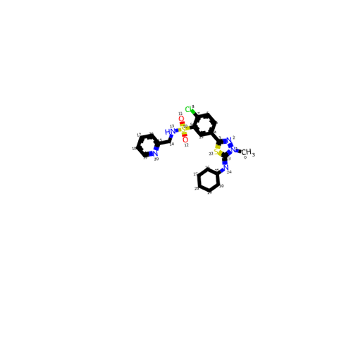 Cn1nc(-c2ccc(Cl)c(S(=O)(=O)NCc3ccccn3)c2)sc1=NC1CCCCC1